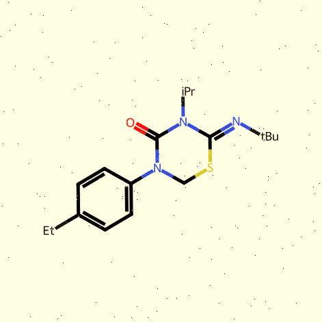 CCc1ccc(N2CSC(=NC(C)(C)C)N(C(C)C)C2=O)cc1